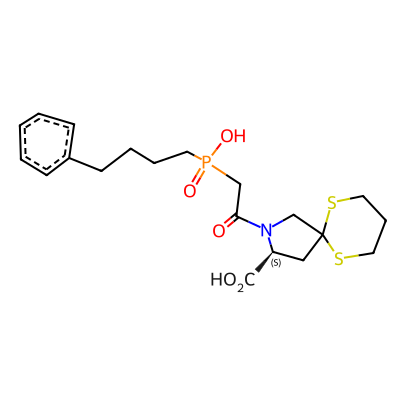 O=C(O)[C@@H]1CC2(CN1C(=O)CP(=O)(O)CCCCc1ccccc1)SCCCS2